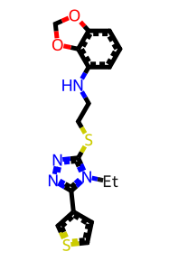 CCn1c(SCCNc2cccc3c2OCO3)nnc1-c1ccsc1